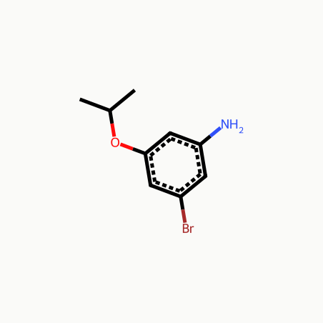 CC(C)Oc1cc(N)cc(Br)c1